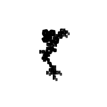 CC(C)(C)OC(=O)NCCSCc1ncsc1SC1(C(=O)O)CS[C@@H]2[C@H](NC(=O)C(=NOC(c3ccccc3)(c3ccccc3)c3ccccc3)c3cccc(NC(=O)OC(C)(C)C)n3)C(=O)N2C1